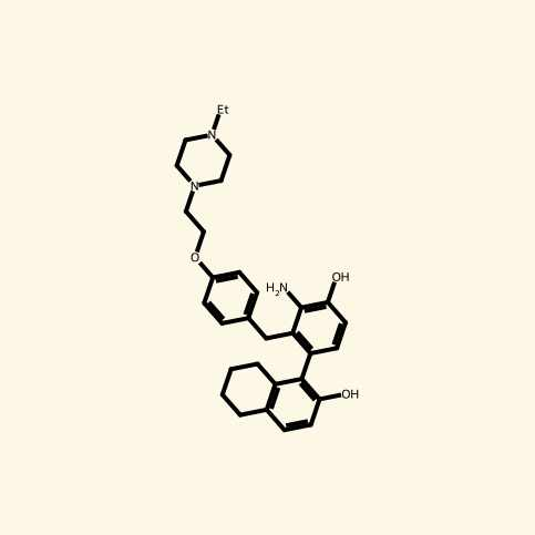 CCN1CCN(CCOc2ccc(Cc3c(-c4c(O)ccc5c4CCCC5)ccc(O)c3N)cc2)CC1